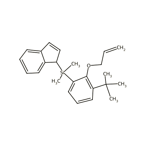 C=CCOc1c(C(C)(C)C)cccc1[Si](C)(C)C1C=Cc2ccccc21